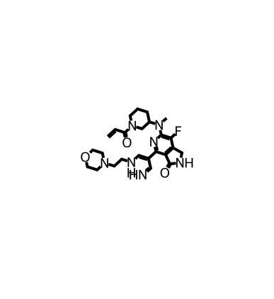 C=CC(=O)N1CCCC(N(C)c2nc(/C(C=N)=C/NCCN3CCOCC3)c3c(c2F)CNC3=O)C1